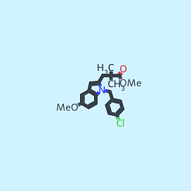 COC(=O)C(C)(C)Cc1cc2cc(OC)ccc2n1Cc1ccc(Cl)cc1